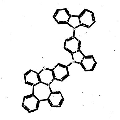 c1ccc2c(c1)-c1ccccc1N1c3ccc(-n4c5ccccc5c5cc(-n6c7ccccc7c7ccccc76)ccc54)cc3Sc3cccc-2c31